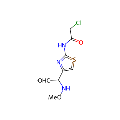 CONC([C]=O)c1csc(NC(=O)CCl)n1